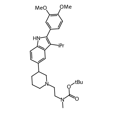 COc1ccc(-c2[nH]c3ccc(C4CCCN(CCN(C)C(=O)OC(C)(C)C)C4)cc3c2C(C)C)cc1OC